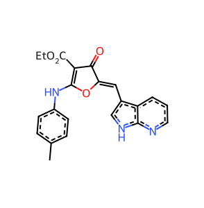 CCOC(=O)C1=C(Nc2ccc(C)cc2)OC(=Cc2c[nH]c3ncccc23)C1=O